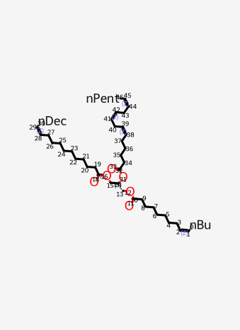 CCCC/C=C\CCCCCCCC(=O)OC[C@H](COC(=O)CCCCCCCCC/C=C\CCCCCCCCCC)OC(=O)CCCC/C=C\C/C=C\C/C=C\CCCCC